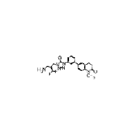 CN1C(=O)CCc2cc(-c3cccc(-n4nnn(CC(CN)=C(F)F)c4=O)c3)ccc21